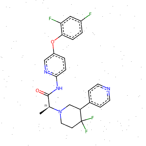 C[C@@H](C(=O)Nc1ccc(Oc2ccc(F)cc2F)cn1)N1CCC(F)(F)C(c2ccncc2)C1